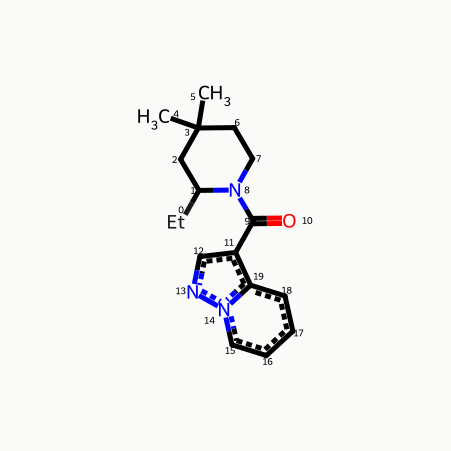 CCC1CC(C)(C)CCN1C(=O)c1cnn2ccccc12